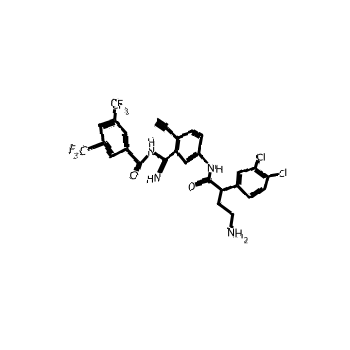 C#Cc1ccc(NC(=O)C(CCN)c2ccc(Cl)c(Cl)c2)cc1C(=N)NC(=O)c1cc(C(F)(F)F)cc(C(F)(F)F)c1